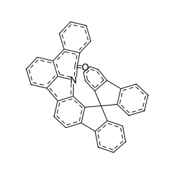 O=c1c2ccccc2c2cccc3c4ccc5c(c4n1c23)C1(c2ccccc2-c2ccccc21)c1ccccc1-5